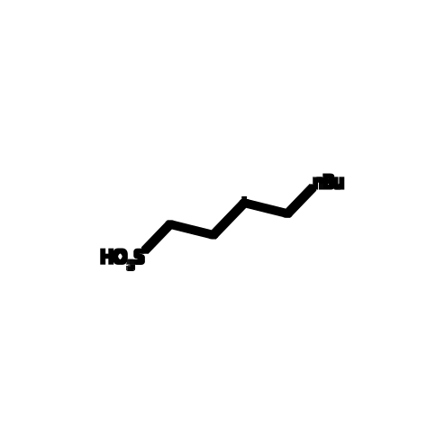 CCCCC[CH]CCS(=O)(=O)O